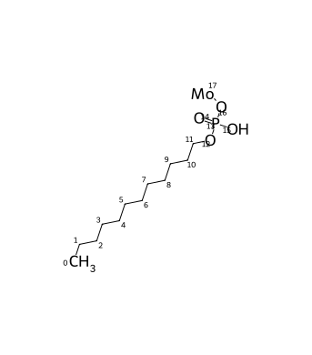 CCCCCCCCCCCCOP(=O)(O)[O][Mo]